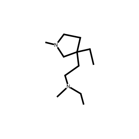 CCN(C)CCC1(CC)CCN(C)C1